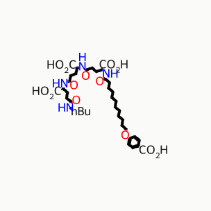 CCCCNC(=O)CC[C@H](NC(=O)CC[C@H](NC(=O)CC[C@H](NC(=O)CCCCCCCCCCCOc1ccc(C(=O)O)cc1)C(=O)O)C(=O)O)C(=O)O